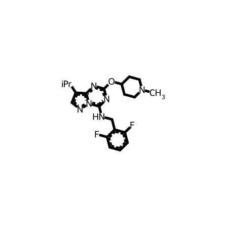 CC(C)c1cnn2c(NCc3c(F)cccc3F)nc(OC3CCN(C)CC3)nc12